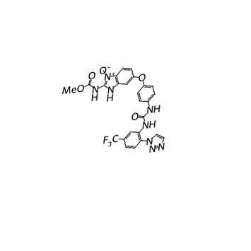 COC(=O)Nc1[nH]c2cc(Oc3ccc(NC(=O)Nc4cc(C(F)(F)F)ccc4-n4ccnn4)cc3)ccc2[n+]1[O-]